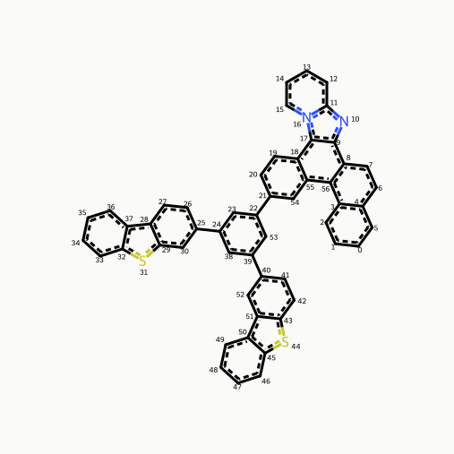 c1ccc2c(c1)ccc1c3nc4ccccn4c3c3ccc(-c4cc(-c5ccc6c(c5)sc5ccccc56)cc(-c5ccc6sc7ccccc7c6c5)c4)cc3c21